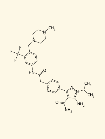 CC(C)n1nc(-c2ccc(CC(=O)Nc3ccc(CN4CCN(C)CC4)c(C(F)(F)F)c3)nc2)c(C(N)=O)c1N